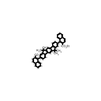 CCOC(=O)c1ccc2ccccc2c1-c1ccc2c(c1)C(C)(C)c1cc3c(cc1-2)C(C)(C)c1cc(-c2c(C(=O)OCC)ccc4ccccc24)ccc1-3